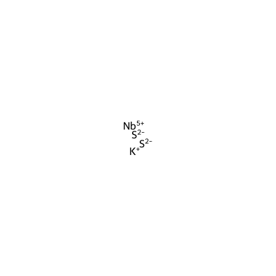 [K+].[Nb+5].[S-2].[S-2]